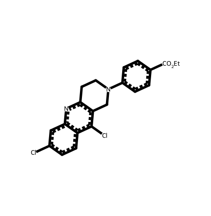 CCOC(=O)c1ccc(N2CCc3nc4cc(Cl)ccc4c(Cl)c3C2)cc1